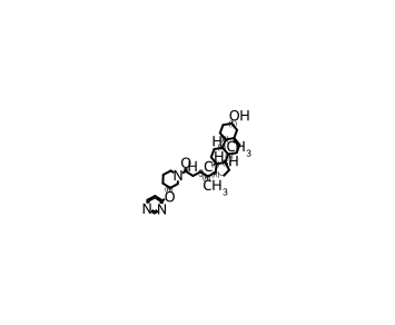 C[C@H](CCC(=O)N1CCC[C@@H](Oc2ccncn2)C1)[C@H]1CC[C@H]2[C@@H]3CC=C4C[C@@H](O)CC[C@]4(C)[C@H]3CC[C@]12C